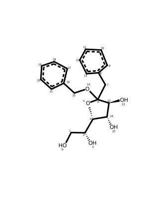 OC[C@@H](O)[C@@H]1OC(Cc2ccccc2)(OCc2ccccc2)[C@@H](O)[C@@H]1O